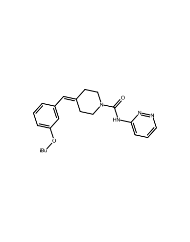 CCC(C)Oc1cccc(C=C2CCN(C(=O)Nc3cccnn3)CC2)c1